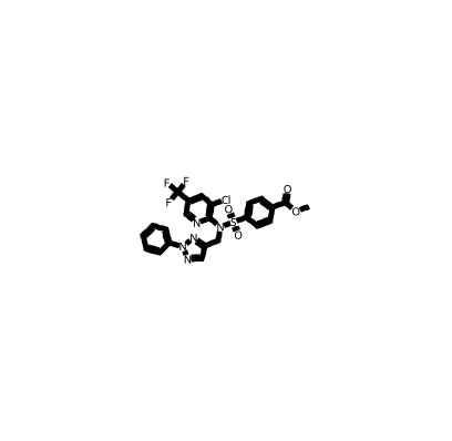 COC(=O)c1ccc(S(=O)(=O)N(Cc2cnn(-c3ccccc3)n2)c2ncc(C(F)(F)F)cc2Cl)cc1